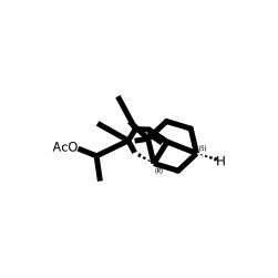 CC(=O)OC(C)C1(C)C[C@]23C[C@H](CCC2(C)C)C3=CC1C